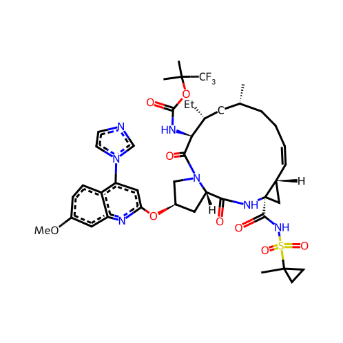 CC[C@@H]1C[C@H](C)CC/C=C\[C@@H]2C[C@@]2(C(=O)NS(=O)(=O)C2(C)CC2)NC(=O)[C@@H]2C[C@@H](Oc3cc(-n4ccnc4)c4ccc(OC)cc4n3)CN2C(=O)[C@H]1NC(=O)OC(C)(C)C(F)(F)F